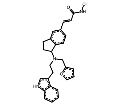 O=C(C=Cc1ccc2c(c1)CCC2N(CCc1c[nH]c2ccccc12)Cc1ccco1)NO